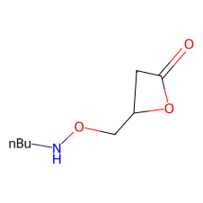 CCCCNOCC1CC(=O)O1